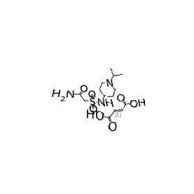 CC(C)N1CCC(NS(=O)(=O)CC(N)=O)CC1.O=C(O)/C=C/C(=O)O